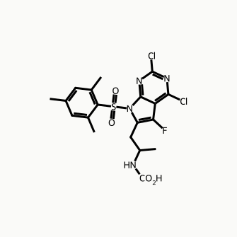 Cc1cc(C)c(S(=O)(=O)n2c(CC(C)NC(=O)O)c(F)c3c(Cl)nc(Cl)nc32)c(C)c1